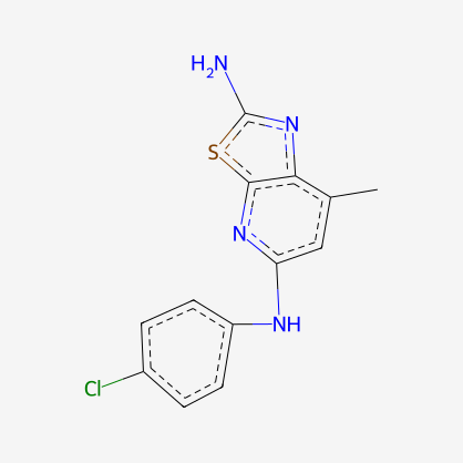 Cc1cc(Nc2ccc(Cl)cc2)nc2sc(N)nc12